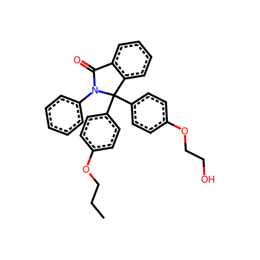 CCCOc1ccc(C2(c3ccc(OCCO)cc3)c3ccccc3C(=O)N2c2ccccc2)cc1